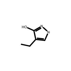 CCC1=C[N]N=C1O